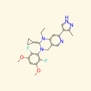 CCN1C(=C2CC2)N(c2c(F)c(OC)cc(OC)c2F)Cc2cnc(-c3c[nH]nc3C)cc21